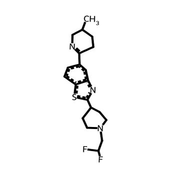 CC1CCC(c2ccc3sc(C4CCN(CC(F)F)CC4)nc3c2)=NC1